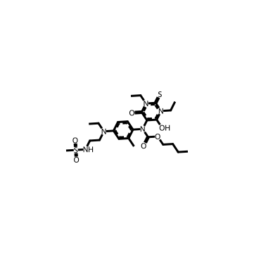 CCCCOC(=O)N(c1ccc(N(CC)CCNS(C)(=O)=O)cc1C)c1c(O)n(CC)c(=S)n(CC)c1=O